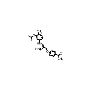 CC(=O)c1cnc(OC/C(=C/Nc2ccc(C)c(OC(F)F)c2)N=N)nc1